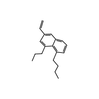 C=Cc1cc(CCC)c2c(CCCC)cccc2c1